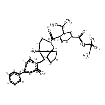 CC(C)C1CN(C(=O)OC(C)(C)C)CCN1C(=O)N1CCC(O)(Cn2cnc(-c3ccccc3)cc2=O)C2(CCCC2)C1